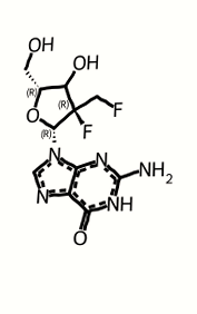 Nc1nc2c(ncn2[C@@H]2O[C@H](CO)C(O)[C@]2(F)CF)c(=O)[nH]1